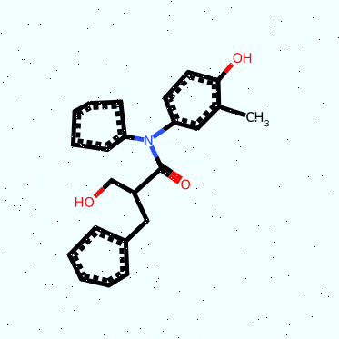 Cc1cc(N(C(=O)C(CO)Cc2ccccc2)c2ccccc2)ccc1O